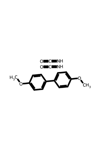 COc1ccc(-c2ccc(OC)cc2)cc1.N=C=O.N=C=O